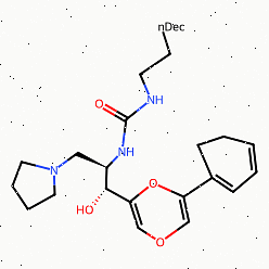 CCCCCCCCCCCCNC(=O)N[C@H](CN1CCCC1)[C@@H](O)C1=COC=C(C2=CC=CCC2)O1